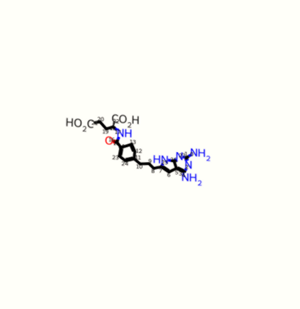 Nc1nc(N)c2cc(CCCc3ccc(C(=O)N[C@@H](CCC(=O)O)C(=O)O)cc3)[nH]c2n1